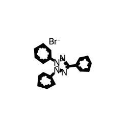 [Br-].c1ccc(-c2nn(-c3ccccc3)[n+](-c3ccccc3)n2)cc1